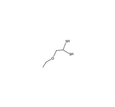 CCOCC(S)S